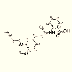 C#CCCOc1cc(/C=C/C(=O)Nc2ccccc2C(=O)O)ccc1OC